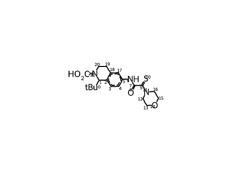 CC(C)(C)C1c2ccc(NC(=O)C(=S)N3CCOCC3)cc2CCN1C(=O)O